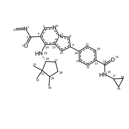 C=NC(=O)c1cnn2cc(-c3ccc(C(=O)NC4CC4)cc3)cc2c1N[C@@H]1CCC(C)C1(C)C